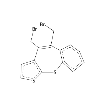 BrCC1=C(CBr)c2ccsc2Sc2ccccc21